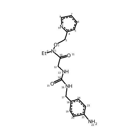 CCN(OCc1ccccn1)C(=O)CNC(=O)NCc1ccc(N)cc1